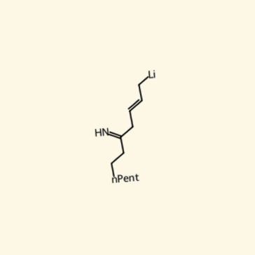 [Li][CH2]C=CCC(=N)CCCCCCC